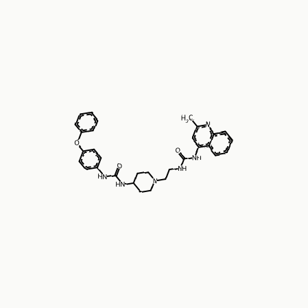 Cc1cc(NC(=O)NCCN2CCC(NC(=O)Nc3ccc(Oc4ccccc4)cc3)CC2)c2ccccc2n1